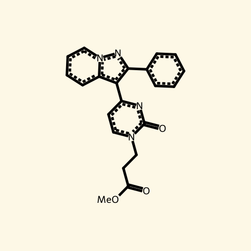 COC(=O)CCn1ccc(-c2c(-c3ccccc3)nn3ccccc23)nc1=O